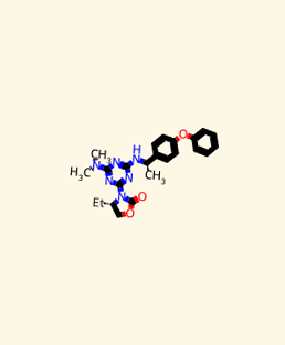 CC[C@H]1COC(=O)N1c1nc(N[C@@H](C)c2ccc(Oc3ccccc3)cc2)nc(N(C)C)n1